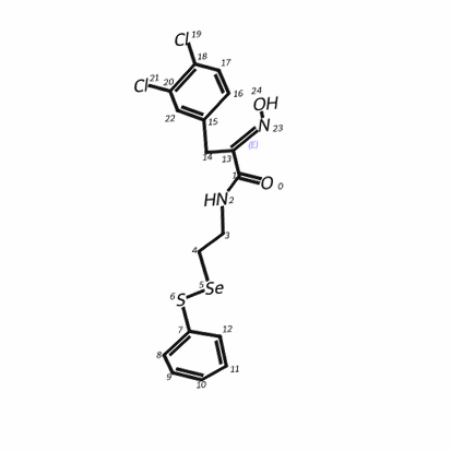 O=C(NCC[Se]Sc1ccccc1)/C(Cc1ccc(Cl)c(Cl)c1)=N/O